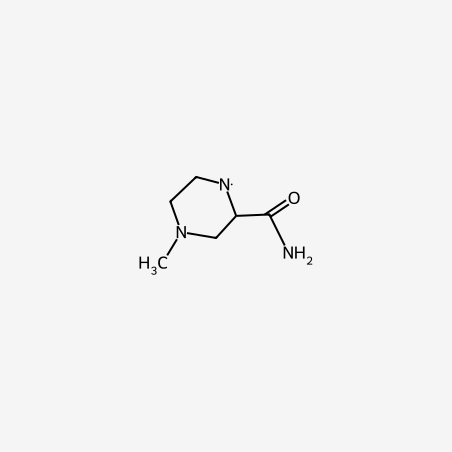 CN1CC[N]C(C(N)=O)C1